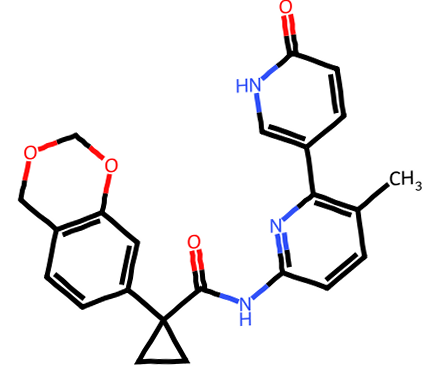 Cc1ccc(NC(=O)C2(c3ccc4c(c3)OCOC4)CC2)nc1-c1ccc(=O)[nH]c1